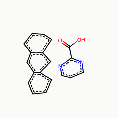 O=C(O)c1ncccn1.c1ccc2cc3ccccc3cc2c1